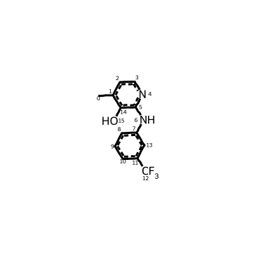 Cc1ccnc(Nc2cccc(C(F)(F)F)c2)c1O